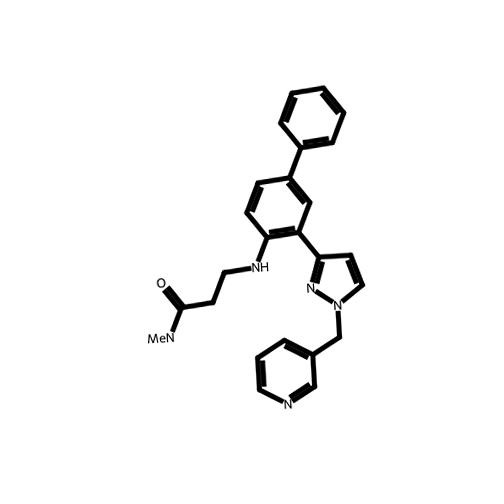 CNC(=O)CCNc1ccc(-c2ccccc2)cc1-c1ccn(Cc2cccnc2)n1